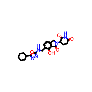 O=C1CCC(N2Cc3ccc(CNc4nnc(C5CCCCC5)o4)c(O)c3C2=O)C(=O)N1